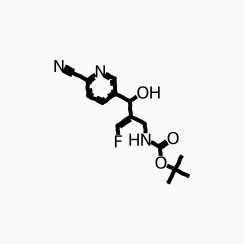 CC(C)(C)OC(=O)NCC(=CF)C(O)c1ccc(C#N)nc1